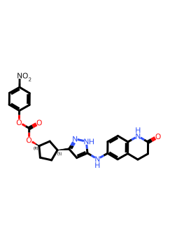 O=C1CCc2cc(Nc3cc([C@H]4CC[C@@H](OC(=O)Oc5ccc([N+](=O)[O-])cc5)C4)n[nH]3)ccc2N1